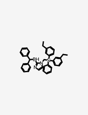 CCc1cccc([Si](Cn2ccnc2BC(c2ccccc2)c2ccccc2)(c2ccccc2)c2cccc(CC)c2)c1